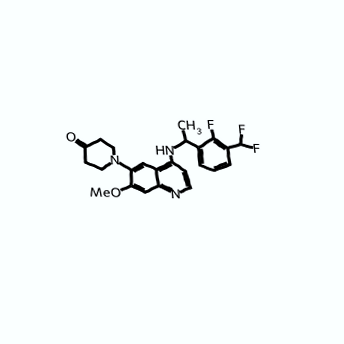 COc1cc2nccc(NC(C)c3cccc(C(F)F)c3F)c2cc1N1CCC(=O)CC1